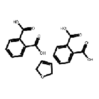 C1=CCOC1.O=C(O)c1ccccc1C(=O)O.O=C(O)c1ccccc1C(=O)O